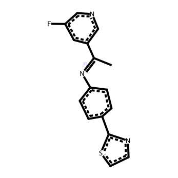 C/C(=N\c1ccc(-c2nccs2)cc1)c1cncc(F)c1